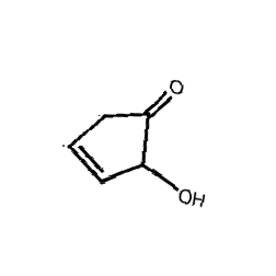 O=C1[CH][C]=CC1O